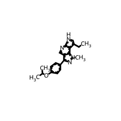 CCc1c[nH]c2ncc3c(-c4ccc(OC(C)C)cc4)nn(C)c3c12